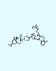 COc1ccc2c(c1)CCN(C1CCN(C(=O)Cn3cc(-c4cccc(F)c4Cl)c(=O)n(CC=N[S+](C)[O-])c3=O)CC1)C(=O)N2